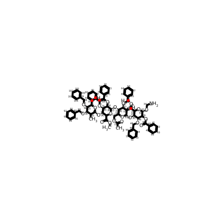 CCC1O[C@@H](O[C@H]2C(C(=O)OC)O[C@@H](O[C@H]3C(COC(C)=O)O[C@@H](O[C@H]4C(C(=O)OC)O[C@@H](OCN)C(OC(=O)c5ccccc5)[C@@H]4OCc4ccccc4)C(C)[C@@H]3OCc3ccccc3)C(OC(=O)c3ccccc3)[C@@H]2OCc2ccccc2)C(C)[C@H](OCc2ccccc2)[C@H]1OCc1ccccc1